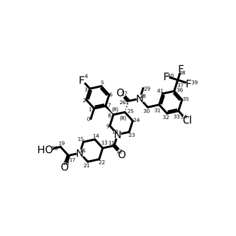 Cc1cc(F)ccc1[C@@H]1CN(C(=O)C2CCN(C(=O)CO)CC2)CC[C@H]1C(=O)N(C)Cc1cc(Cl)cc(C(F)(F)F)c1